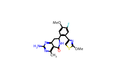 COc1nc(-c2cc(F)c(OC)cc2C2Cc3nc(N)nc(C)c3C(=O)N2)cs1